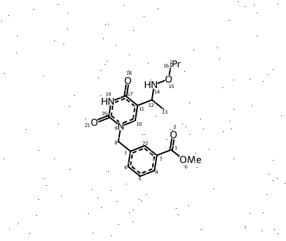 COC(=O)c1cccc(Cn2cc(C(C)NOC(C)C)c(=O)[nH]c2=O)c1